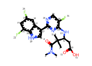 CN(C)C(=O)C(C)(C)C(CC(=O)O)Nc1nc(-c2c[nH]c3c(F)cc(F)cc23)ncc1F